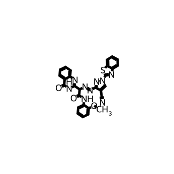 COc1ccccc1NC(=O)C(N=Nc1nn(-c2nc3ccccc3s2)cc1C#N)c1nc2ccccc2c(=O)[nH]1